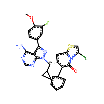 COc1ccc(-c2nn([C@H](c3cc4scc(Cl)n4c(=O)c3-c3ccccc3)C3CC3)c3ncnc(N)c23)cc1F